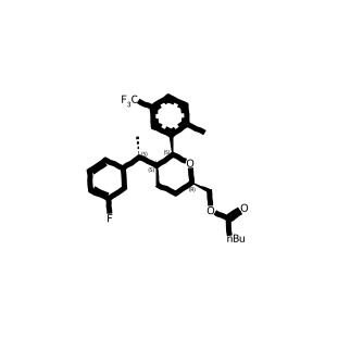 CCCCC(=O)OC[C@H]1CC[C@@H]([C@@H](C)C2C=CC=C(F)C2)[C@@H](c2cc(C(F)(F)F)ccc2C)O1